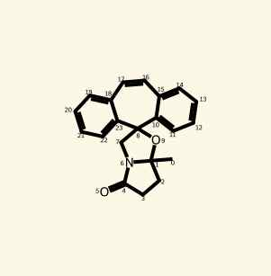 CC12CCC(=O)N1CC1(O2)c2ccccc2C=Cc2ccccc21